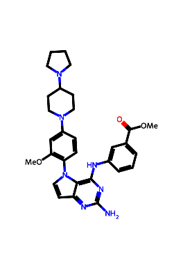 COC(=O)c1cccc(Nc2nc(N)nc3ccn(-c4ccc(N5CCC(N6CCCC6)CC5)cc4OC)c23)c1